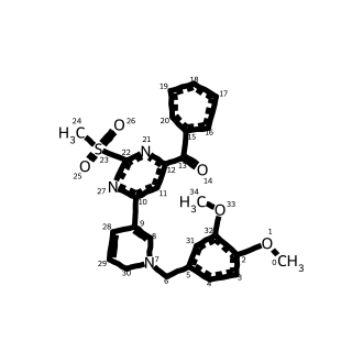 COc1ccc(CN2C=C(c3cc(C(=O)c4ccccc4)nc(S(C)(=O)=O)n3)C=CC2)cc1OC